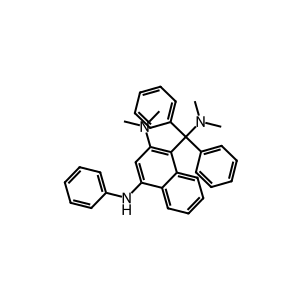 CN(C)c1cc(Nc2ccccc2)c2ccccc2c1C(c1ccccc1)(c1ccccc1)N(C)C